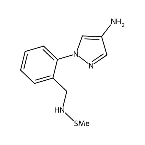 CSNCc1ccccc1-n1cc(N)cn1